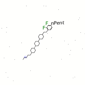 C/C=C/CCC1CCC(C2CCC(C3CCC(CCc4ccc(CCCCC)c(F)c4F)CC3)CC2)CC1